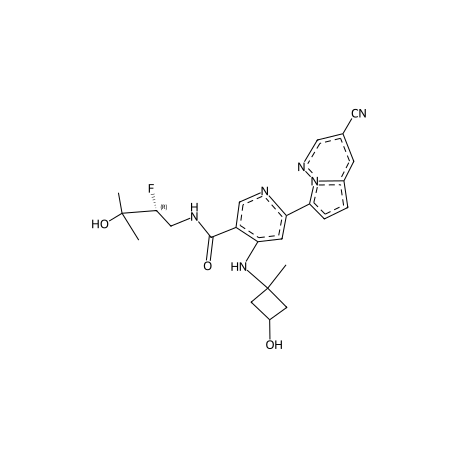 CC1(Nc2cc(-c3ccc4cc(C#N)cnn34)ncc2C(=O)NC[C@@H](F)C(C)(C)O)CC(O)C1